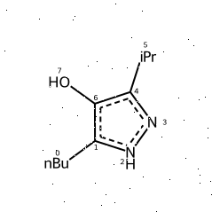 CCCCc1[nH]nc(C(C)C)c1O